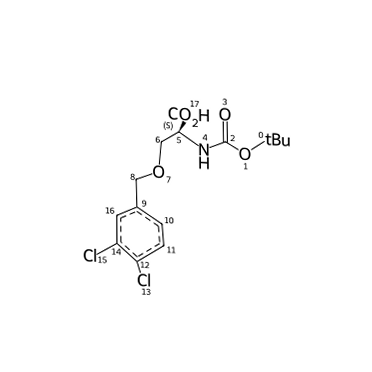 CC(C)(C)OC(=O)N[C@@H](COCc1ccc(Cl)c(Cl)c1)C(=O)O